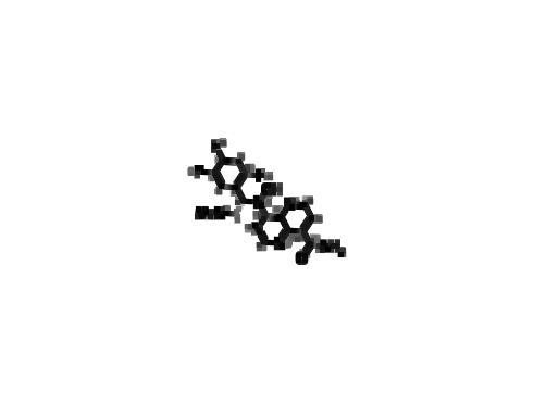 CNC[C@H](c1cc(F)c(F)cc1F)N(O)c1ncnc2c(C(N)=O)ccnc12